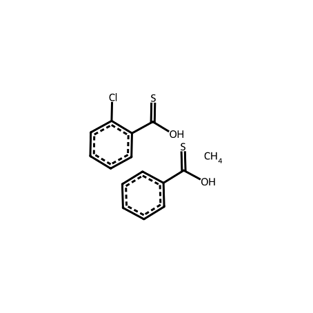 C.OC(=S)c1ccccc1.OC(=S)c1ccccc1Cl